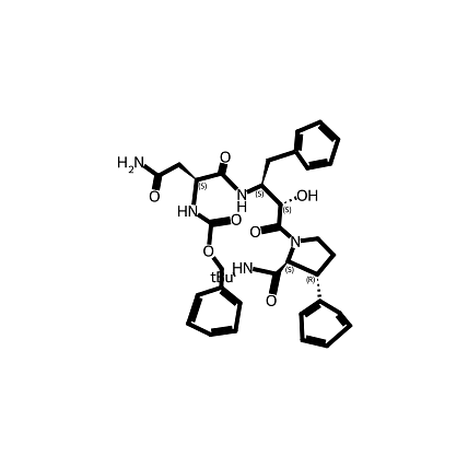 CC(C)(C)NC(=O)[C@@H]1[C@@H](c2ccccc2)CCN1C(=O)[C@@H](O)[C@H](Cc1ccccc1)NC(=O)[C@H](CC(N)=O)NC(=O)OCc1ccccc1